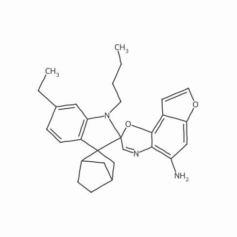 CCCCN1c2cc(CC)ccc2C2(CC3CCC2C3)C12C=Nc1c(N)cc3occc3c1O2